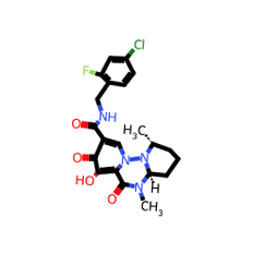 C[C@@H]1CCC[C@H]2N(C)C(=O)c3c(O)c(=O)c(C(=O)NCc4ccc(Cl)cc4F)cn3N12